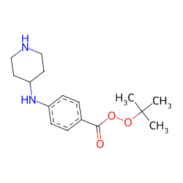 CC(C)(C)OOC(=O)c1ccc(NC2CCNCC2)cc1